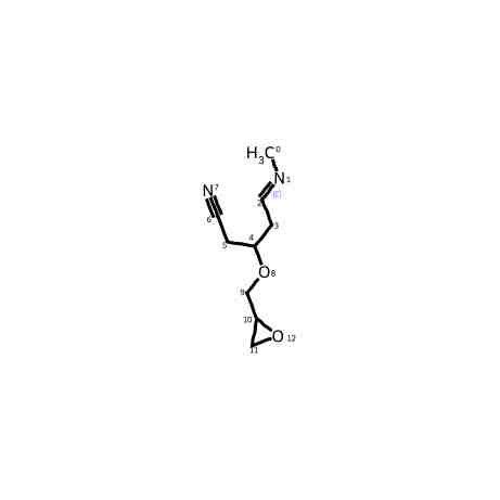 C/N=C/CC(CC#N)OCC1CO1